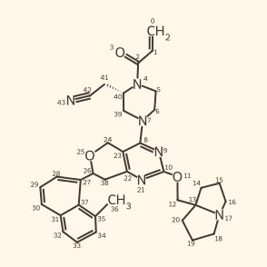 C=CC(=O)N1CCN(c2nc(OCC34CCCN3CCC4)nc3c2COC(c2cccc4cccc(C)c24)C3)C[C@@H]1CC#N